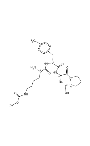 CCC(C)[C@H](NC(=O)[C@@H](Cc1ccc(C(F)(F)F)cc1)NC(=O)[C@@H](N)CCCCNC(=O)OC(C)(C)C)C(=O)N1CCC[C@@H]1CO